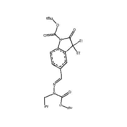 CCC1(CC)C(=O)N(C(=O)OC(C)(C)C)c2ccc(/C=N/N(CC(C)C)C(=O)OC(C)(C)C)cc21